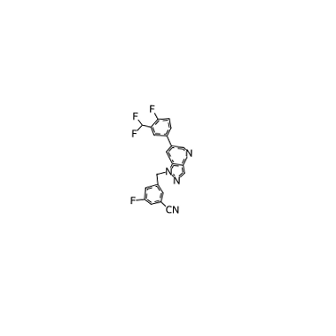 N#Cc1cc(F)cc(Cn2ncc3ncc(-c4ccc(F)c(C(F)F)c4)cc32)c1